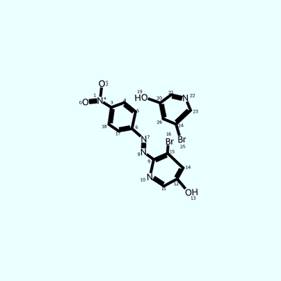 O=[N+]([O-])c1ccc(N=Nc2ncc(O)cc2Br)cc1.Oc1cncc(Br)c1